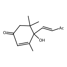 CC(=O)C=CC1(O)C(C)=CC(=O)CC1(C)C